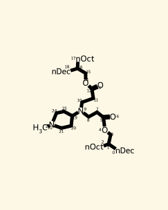 CCCCCCCCCCC(CCCCCCCC)COC(=O)CCN(CCC(=O)OCC(CCCCCCCC)CCCCCCCCCC)C1CCN(C)CC1